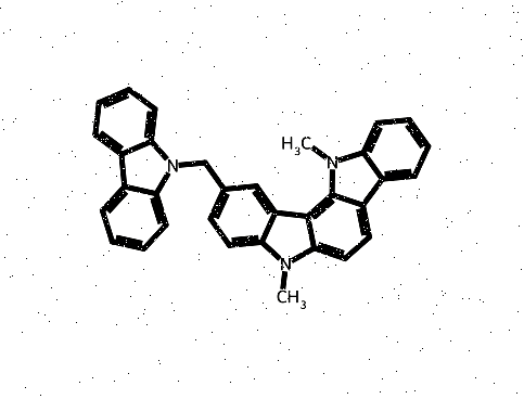 Cn1c2ccc(Cn3c4ccccc4c4ccccc43)cc2c2c1ccc1c3ccccc3n(C)c12